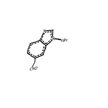 CCCn1cnc2ccc(C=O)cc21